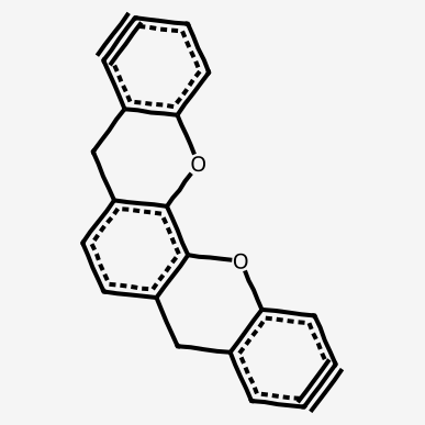 c1ccc2c(c#1)Cc1ccc3c(c1O2)Oc1cc#ccc1C3